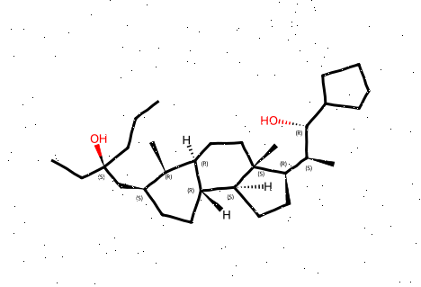 CCC[C@@](O)(CC)C[C@@H]1CC[C@@H]2[C@H](CC[C@]3(C)[C@@H]([C@H](C)[C@H](O)C4CCCC4)CC[C@@H]23)[C@@H]1C